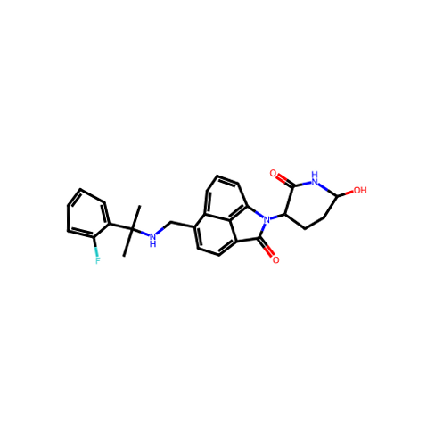 CC(C)(NCc1ccc2c3c(cccc13)N(C1CCC(O)NC1=O)C2=O)c1ccccc1F